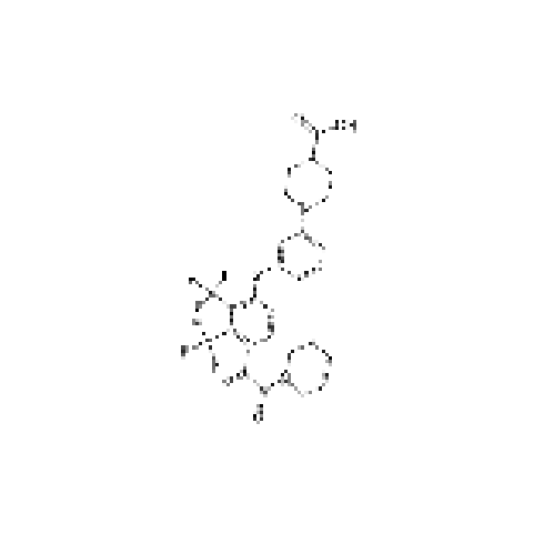 C=C(C(=O)N1CC=CCC1)c1ccc(Sc2cccc(N3CCC(C(=O)O)CC3)c2)c(C(F)(F)F)c1C(F)(F)F